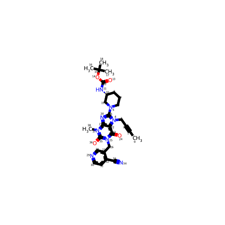 CC#CCn1c(N2CCC[C@@H](NC(=O)OC(C)(C)C)C2)nc2c1c(=O)n(Cc1cnccc1C#N)c(=O)n2C